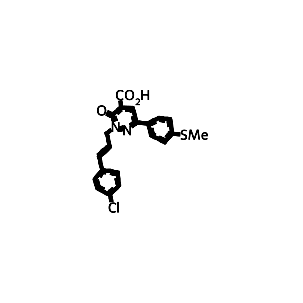 CSc1ccc(-c2cc(C(=O)O)c(=O)n(CC=Cc3ccc(Cl)cc3)n2)cc1